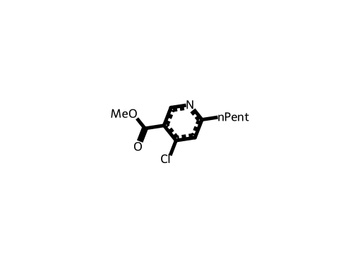 CCCCCc1cc(Cl)c(C(=O)OC)cn1